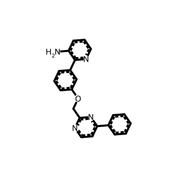 Nc1cccnc1-c1cccc(OCc2nccc(-c3ccccc3)n2)c1